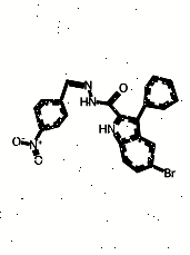 O=C(N/N=C\c1ccc([N+](=O)[O-])cc1)c1[nH]c2ccc(Br)cc2c1-c1ccccc1